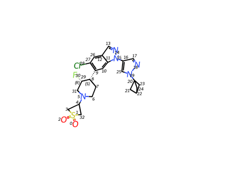 O=S1(=O)CC(N2CC[C@@H](c3cc4c(cnn4-c4cnn(C56CC(C5)C6)c4)cc3Cl)[C@@H](F)C2)C1